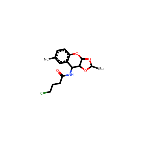 CC(C)(C)C1OC2Oc3ccc(C#N)cc3C(NC(=O)CCCCl)C2O1